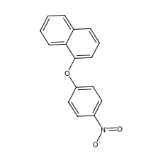 O=[N+]([O-])c1ccc(Oc2cccc3ccccc23)cc1